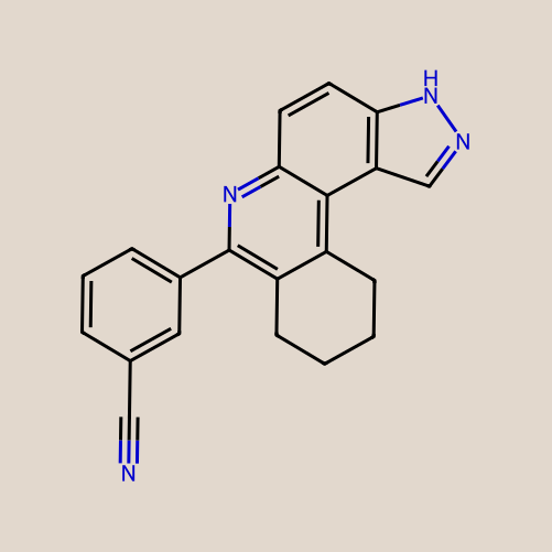 N#Cc1cccc(-c2nc3ccc4[nH]ncc4c3c3c2CCCC3)c1